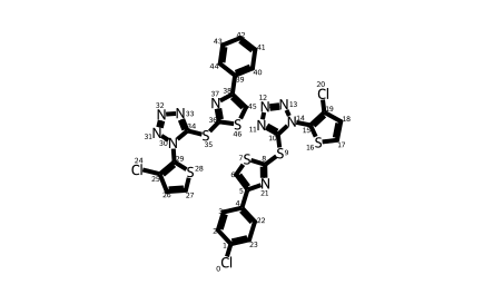 Clc1ccc(-c2csc(Sc3nnnn3-c3sccc3Cl)n2)cc1.Clc1ccsc1-n1nnnc1Sc1nc(-c2ccccc2)cs1